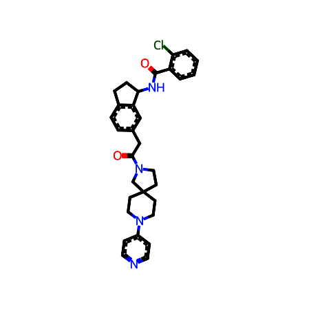 O=C(NC1CCc2ccc(CC(=O)N3CCC4(CCN(c5ccncc5)CC4)C3)cc21)c1ccccc1Cl